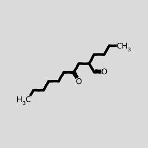 CCCCCCC(=O)CC(C=O)CCCC